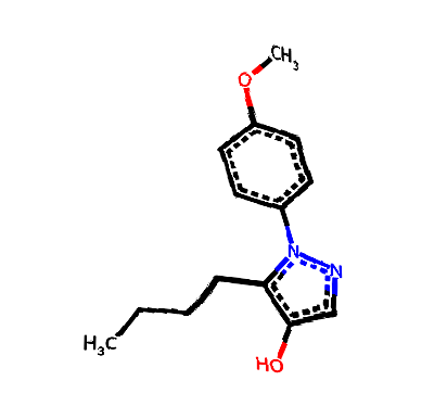 CCCCc1c(O)cnn1-c1ccc(OC)cc1